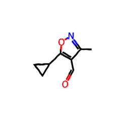 Cc1noc(C2CC2)c1C=O